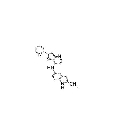 Cc1cc2cc(Nc3ccnc4cc(-c5ccccn5)sc34)ccc2[nH]1